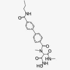 CCCNC(=O)c1ccc(-c2ccc(C(=O)N(C)C(C(=O)NC)C(=O)NO)cc2)cc1